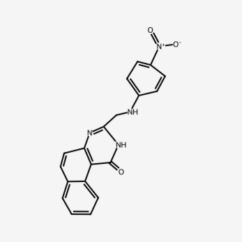 O=c1[nH]c(CNc2ccc([N+](=O)[O-])cc2)nc2ccc3ccccc3c12